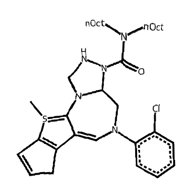 CCCCCCCCN(CCCCCCCC)C(=O)N1NCN2C3=S(C)C4=C(CC=C4)C3=CN(c3ccccc3Cl)CC21